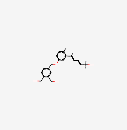 CC/C(=C\C=C\C(O)(CC)CC)c1cc(OCc2ccc(CO)c(CO)c2)ccc1C